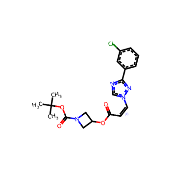 CC(C)(C)OC(=O)N1CC(OC(=O)/C=C\n2cnc(-c3cccc(Cl)c3)n2)C1